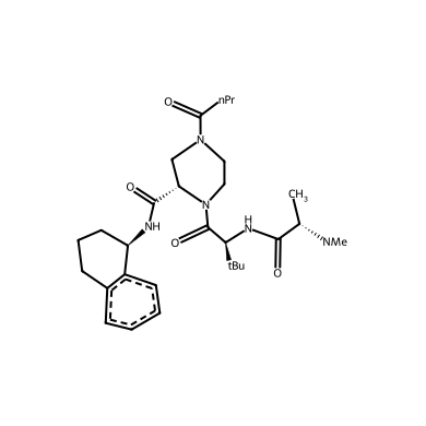 CCCC(=O)N1CCN(C(=O)[C@@H](NC(=O)[C@H](C)NC)C(C)(C)C)[C@H](C(=O)N[C@@H]2CCCc3ccccc32)C1